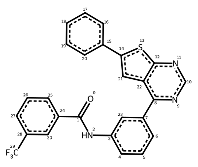 O=C(Nc1cccc(-c2ncnc3sc(-c4ccccc4)cc23)c1)c1cccc(C(F)(F)F)c1